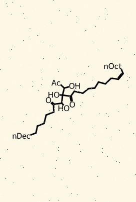 CCCCCCCC/C=C\CCCCCCCC(=O)C(O)(C(O)C(C)=O)C(O)C(=O)CCCCCCCCCCCCCCC